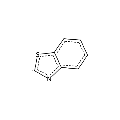 [c]1nc2[c]cccc2s1